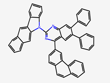 c1ccc(-c2cc3nc(-n4c5ccccc5c5cc6ccccc6cc54)nc(-c4ccc5ccc6ccccc6c5c4)c3cc2-c2ccccc2)cc1